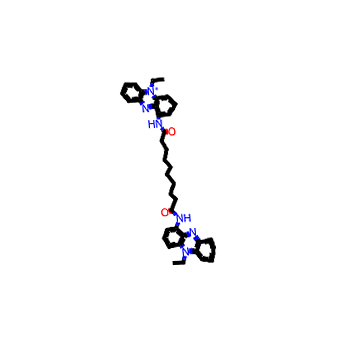 CC[n+]1c2ccccc2nc2c(NC(=O)CCCCCCCCC(=O)Nc3cccc4c3nc3ccccc3[n+]4CC)cccc21